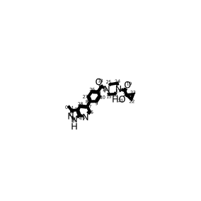 Cc1n[nH]c2ncc(-c3ccc(C(=O)N4CCN(C(=O)C5(O)CC5)CC4)cc3)cc12